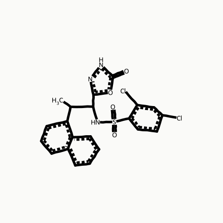 CC(c1cccc2ccccc12)C(NS(=O)(=O)c1ccc(Cl)cc1Cl)c1n[nH]c(=O)o1